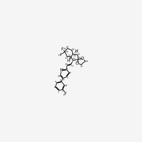 Fc1cccc(-c2ccc(C=C[C@H]3[C@@H]4CC(F)(F)CC[C@H]4CC34OCCO4)nc2)c1